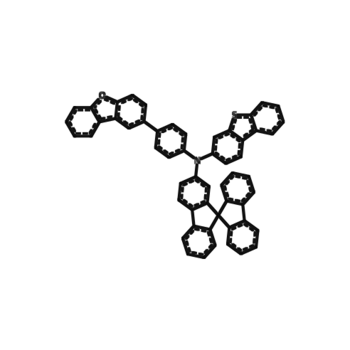 c1ccc2c(c1)-c1ccccc1C21c2ccccc2-c2ccc(N(c3ccc(-c4ccc5oc6ccccc6c5c4)cc3)c3ccc4c(c3)sc3ccccc34)cc21